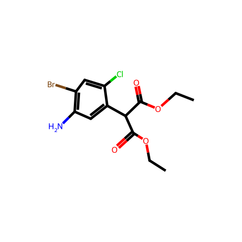 CCOC(=O)C(C(=O)OCC)c1cc(N)c(Br)cc1Cl